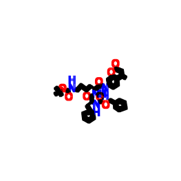 Cc1cc(=O)oc2cc(NC(=O)[C@H](CCCCNC(=O)OC(C)(C)C)NC(=O)[C@H](Cc3ccccc3)NC(=O)OCc3ccccc3)ccc12